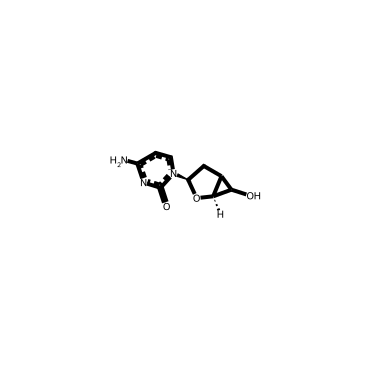 Nc1ccn([C@H]2CC3C(O)[C@H]3O2)c(=O)n1